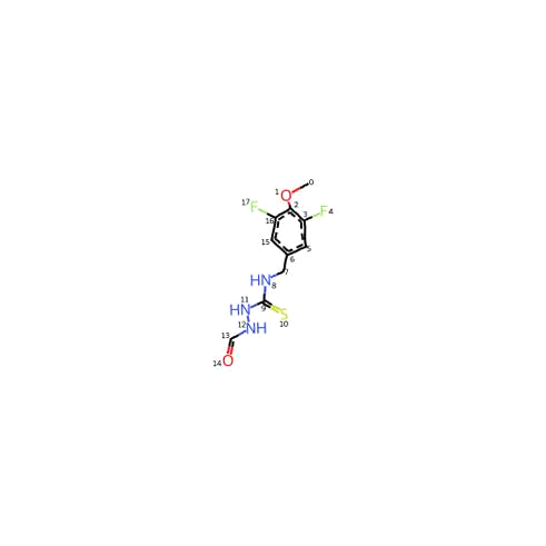 COc1c(F)cc(CNC(=S)NNC=O)cc1F